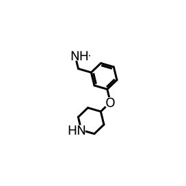 [NH]Cc1cccc(OC2CCNCC2)c1